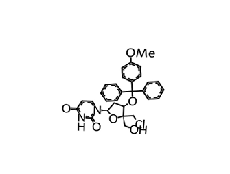 COc1ccc(C(O[C@@H]2C[C@H](n3ccc(=O)[nH]c3=O)O[C@@]2(CO)CCl)(c2ccccc2)c2ccccc2)cc1